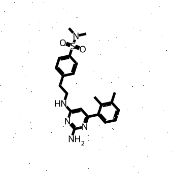 Cc1cccc(-c2cc(NCCc3ccc(S(=O)(=O)N(C)C)cc3)nc(N)n2)c1C